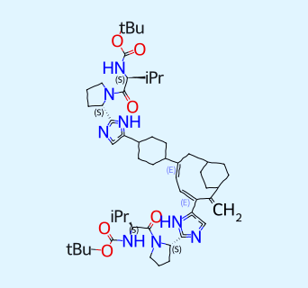 C=C1/C(c2cnc([C@@H]3CCCN3C(=O)[C@@H](NC(=O)OC(C)(C)C)C(C)C)[nH]2)=C\C=C(\C2CCC(c3cnc([C@@H]4CCCN4C(=O)[C@@H](NC(=O)OC(C)(C)C)C(C)C)[nH]3)CC2)CC2CCC1CC2